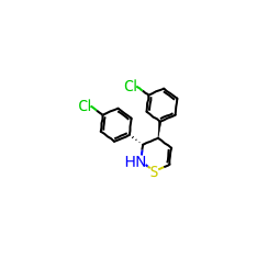 Clc1ccc([C@H]2NSC=C[C@@H]2c2cccc(Cl)c2)cc1